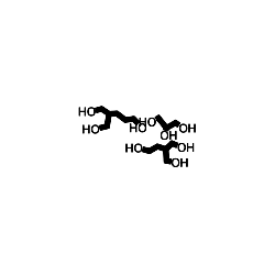 OCC(O)CO.OCCC(CO)CO.OCCCC(CO)CO